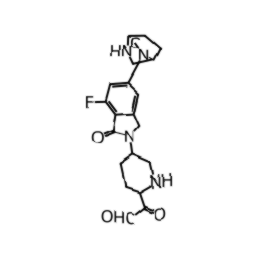 O=CC(=O)C1CCC(N2Cc3cc(N4CC5CCC4CN5)cc(F)c3C2=O)CN1